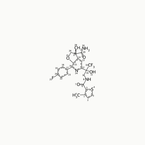 Cc1ccsc1C(=O)NCC(O)(c1cc2c(c(-c3ccc(F)cc3)n1)OC[C@]2(C)C(N)=O)C(F)(F)F